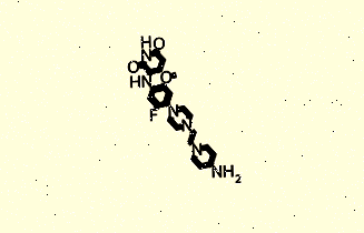 COc1cc(N2CCN(CCN3CCC(N)CC3)CC2)c(F)cc1NC1CCC(=O)NC1=O